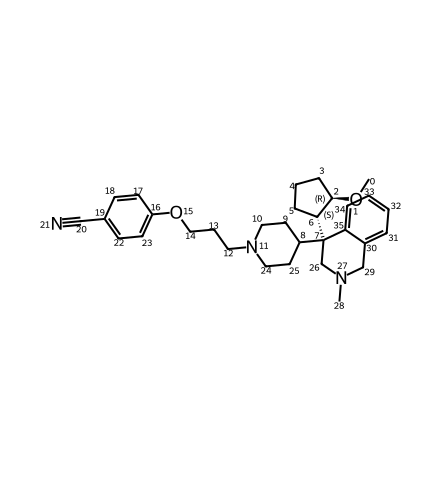 CO[C@@H]1CCC[C@H]1C1(C2CCN(CCCOc3ccc(C#N)cc3)CC2)CN(C)Cc2ccccc21